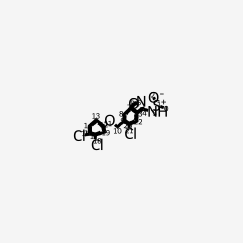 C[S+]([O-])Nc1noc2cc(COc3ccc(Cl)c(Cl)c3)c(Cl)cc12